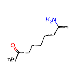 C=C(N)CCCCCC(=O)CCC